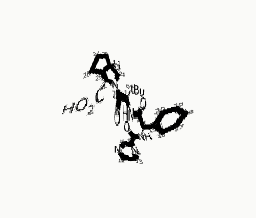 CC(C)(C)[C@H](NC(=O)[C@@H](NC(=O)c1cnccn1)C1CCCCC1)C(=O)N1C[C@H]2CCCC2[C@H]1C(=O)O